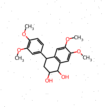 COc1ccc(C2CC(O)C(O)c3cc(OC)c(OC)cc32)cc1OC